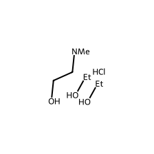 CCO.CCO.CNCCO.Cl